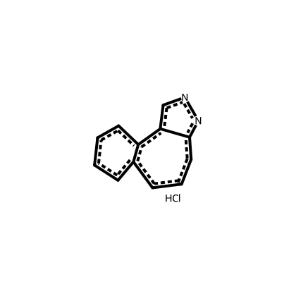 Cl.c1ccc2c3cnnc-3cccc2c1